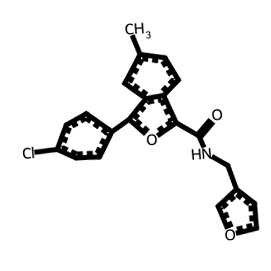 Cc1ccc2c(C(=O)NCc3ccoc3)oc(-c3ccc(Cl)cc3)c2c1